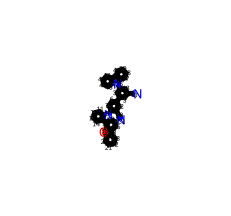 N#Cc1cc(-c2ccc(-n3c4ccccc4c4c5oc6ccccc6c5ccc43)c(C#N)c2)cc(-n2c3ccccc3c3ccccc32)c1